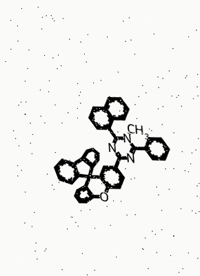 CN1C(c2ccccc2)=NC(c2ccc3c(c2)C2(C4=C(CCC=C4)c4ccccc42)c2ccccc2O3)=NC1c1cccc2ccccc12